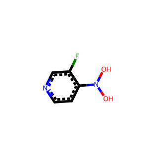 ON(O)c1ccncc1F